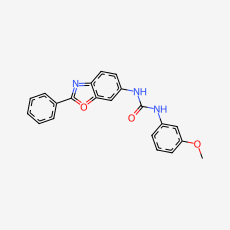 COc1cccc(NC(=O)Nc2ccc3nc(-c4ccccc4)oc3c2)c1